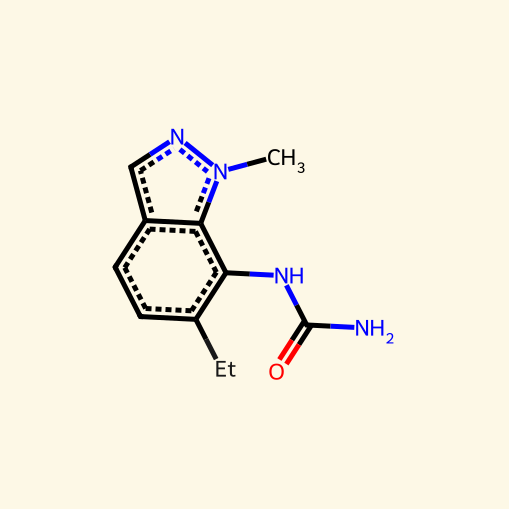 CCc1ccc2cnn(C)c2c1NC(N)=O